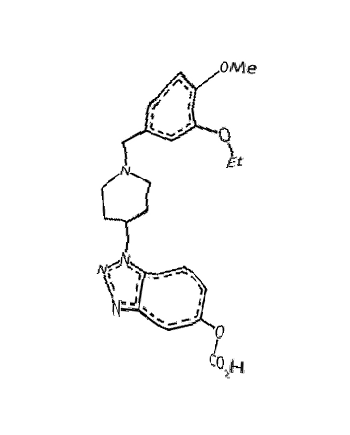 CCOc1cc(CN2CCC(n3nnc4cc(OC(=O)O)ccc43)CC2)ccc1OC